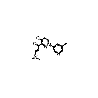 Cc1cncc(-n2ccc(=O)c(C(=O)/C=C/N(C)C)n2)c1